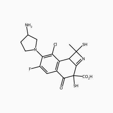 CC1(S)N=C2C1c1c(cc(F)c(N3CCC(N)C3)c1Cl)C(=O)C2(S)C(=O)O